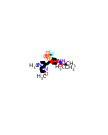 COc1ccc2c(n1)c(CCC13CCC(NC(=O)OC(C)(C)C)(CC1)CO3)cc[n+]2C.O=S(=O)([O-])C(F)(F)F